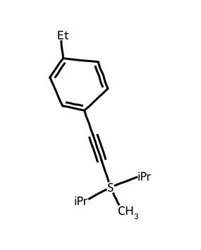 CCc1ccc(C#CS(C)(C(C)C)C(C)C)cc1